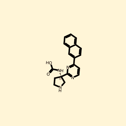 O=C(O)N[C@@]1(c2nccc(-c3ccc4ccccc4c3)n2)CCNC1